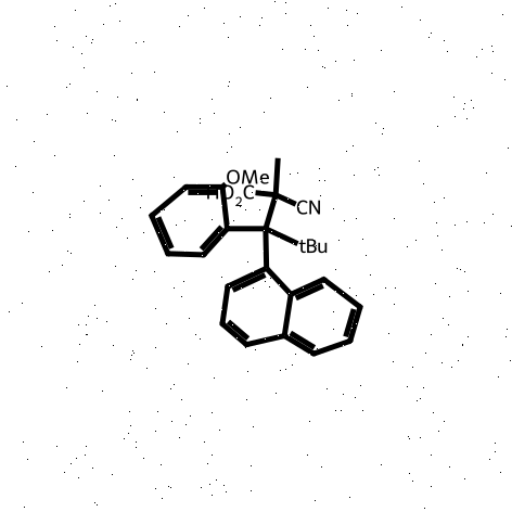 COc1ccccc1C(c1cccc2ccccc12)(C(C)(C)C)C(C)(C#N)C(=O)O